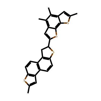 Cc1cc2c(ccc3c4c(ccc32)SC(c2cc3c(C)c(C)c5cc(C)sc5c3s2)C4)s1